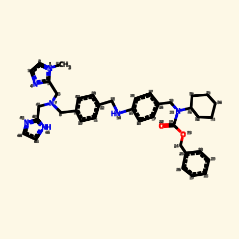 Cn1ccnc1CN(Cc1ccc(CNc2ccc(CN(C(=O)OCc3ccccc3)C3CCCCC3)cc2)cc1)Cc1ncc[nH]1